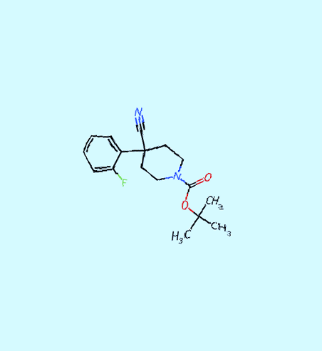 CC(C)(C)OC(=O)N1CCC(C#N)(c2ccccc2F)CC1